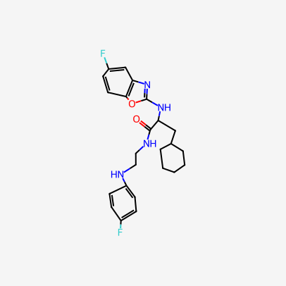 O=C(NCCNc1ccc(F)cc1)C(CC1CCCCC1)Nc1nc2cc(F)ccc2o1